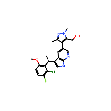 COc1ccc(F)c(Cl)c1[C@@H](C)c1c[nH]c2ncc(-c3c(C)nn(C)c3CO)cc12